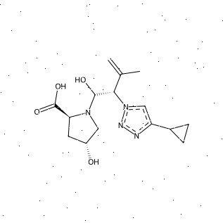 C=C(C)[C@@H](C(O)N1C[C@H](O)C[C@H]1C(=O)O)n1cc(C2CC2)nn1